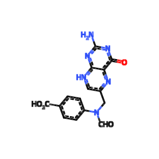 Nc1nc2[nH]cc(CN(C=O)c3ccc(C(=O)O)cc3)nc-2c(=O)n1